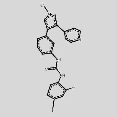 CCn1cc(-c2cccc(NC(=O)Nc3ccc(I)cc3F)c2)c(-c2ccncc2)n1